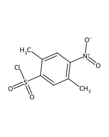 Cc1cc(S(=O)(=O)Cl)c(C)cc1[N+](=O)[O-]